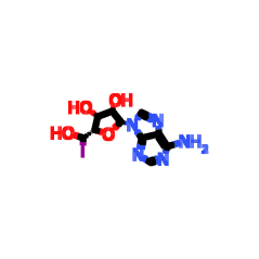 Nc1ncnc2c1ncn2[C@@H]1O[C@H](C(O)I)[C@@H](O)[C@H]1O